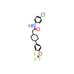 O=C(CC1CCC(c2ccc(OC(F)(F)F)cc2)CC1)Nc1ccc(Cl)cc1